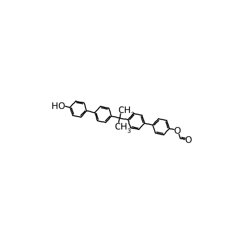 CC(C)(c1ccc(-c2ccc(O)cc2)cc1)c1ccc(-c2ccc(OC=O)cc2)cc1